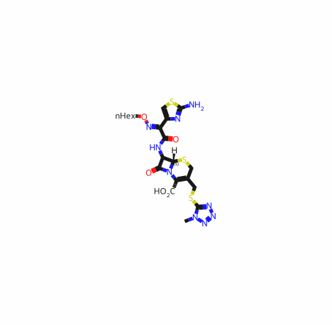 CCCCCCON=C(C(=O)NC1C(=O)N2C(C(=O)O)=C(CSc3nnnn3C)CS[C@@H]12)c1csc(N)n1